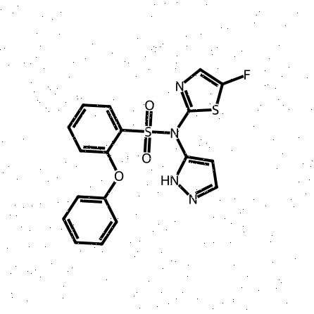 O=S(=O)(c1ccccc1Oc1ccccc1)N(c1ccn[nH]1)c1ncc(F)s1